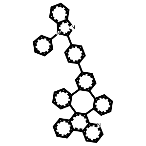 c1ccc(-n2c(-c3ccc(-c4ccc5c(c4)-c4ccccc4-c4c(c6ncccc6c6ccccc46)-c4ccccc4-5)cc3)nc3ccccc32)cc1